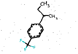 CCC(C)c1ccc(C(F)(F)F)cc1